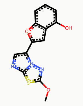 COc1nn2c(-c3cc4c(O)cccc4o3)cnc2s1